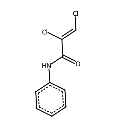 O=C(Nc1ccccc1)/C(Cl)=C/Cl